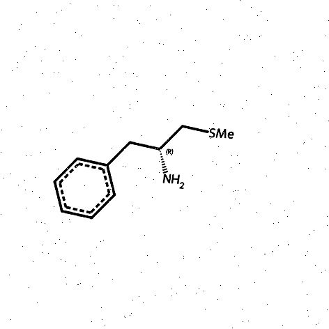 CSC[C@H](N)Cc1ccccc1